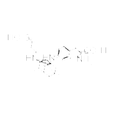 N[C@@H](Cc1ccc(NC23CC4CC(CC(NCCCS(=O)(=O)O)(C4)C2)C3)cc1)C(=O)O